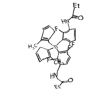 CCC(=O)Nc1ccc(F)[c]([Ti]([C]2=C(C)C=CC2)([C]2=C(C)C=CC2)[c]2c(F)ccc(NC(=O)CC)c2F)c1F